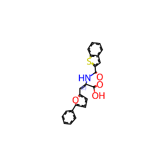 O=C(O)/C(=C\c1ccc(-c2ccccc2)o1)NC(=O)c1cc2ccccc2s1